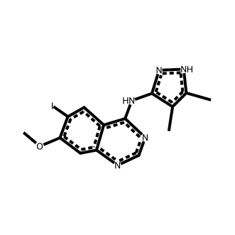 COc1cc2ncnc(Nc3n[nH]c(C)c3C)c2cc1I